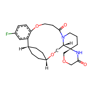 O=C1COC[C@@]2(CCCN3C(=O)CCOc4ccc(F)cc4[C@H]4CC[C@H](CC4)OC[C@H]32)N1